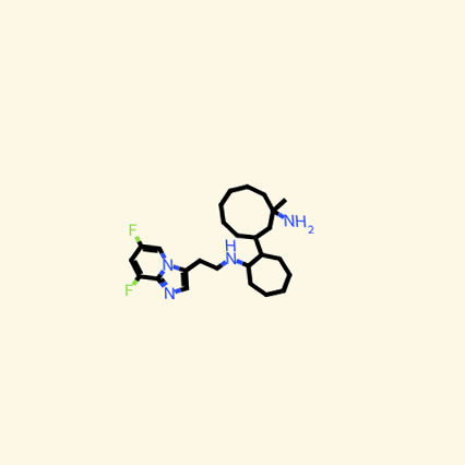 CC1(N)CCCCCCC(C2CCCCCC2NCCc2cnc3c(F)cc(F)cn23)C1